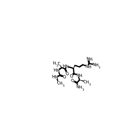 CNC(=O)N[C@@H](C)C(=O)N[C@@H](CCCNC(=N)N)C(=O)N[C@@H](C)C(N)=O